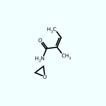 C1CO1.CC=C(C)C(N)=O